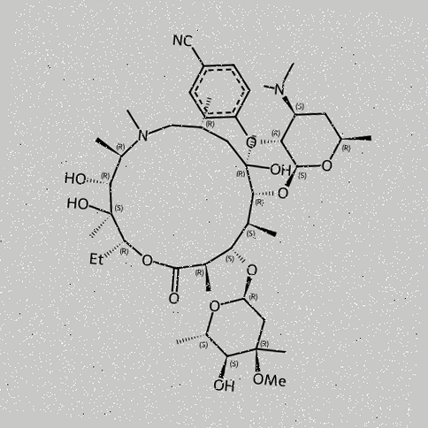 CC[C@H]1OC(=O)[C@H](C)[C@@H](O[C@H]2C[C@@](C)(OC)[C@@H](O)[C@H](C)O2)[C@H](C)[C@@H](O[C@@H]2O[C@H](C)C[C@H](N(C)C)[C@H]2Oc2ccc(C#N)cc2)[C@](C)(O)C[C@@H](C)CN(C)[C@H](C)[C@@H](O)[C@]1(C)O